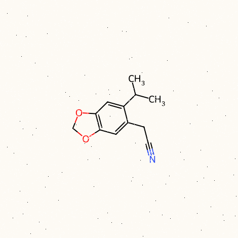 CC(C)c1cc2c(cc1CC#N)OCO2